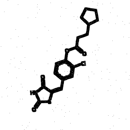 O=C(CCC1CCCC1)Oc1ccc(C=C2SC(=O)NC2=O)cc1Cl